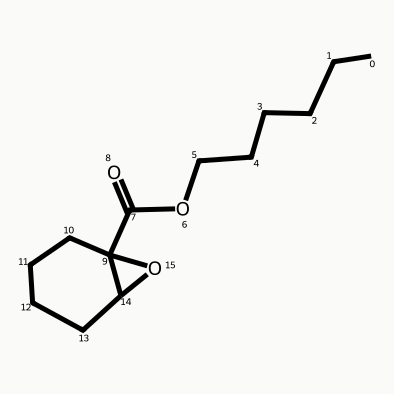 CCCCCCOC(=O)C12CCCCC1O2